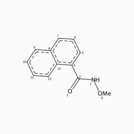 CONC(=O)c1cccc2ccccc12